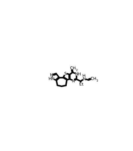 C=CNC(CC)C1=Nc2c(sc3c2CCCc2[nH]ncc2-3)C(=C)N1